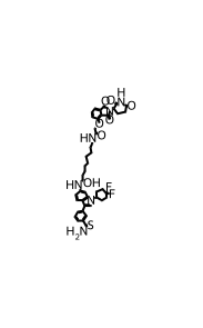 NC(=S)c1cccc(-c2cn(C3CCC(F)(F)CC3)c3cc(NC(O)CCCCCCCCNC(=O)COc4cccc5c4C(=O)N(C4CCC(=O)NC4=O)C5=O)ccc23)c1